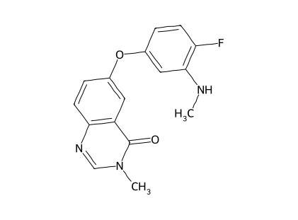 CNc1cc(Oc2ccc3ncn(C)c(=O)c3c2)ccc1F